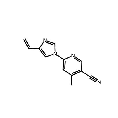 C=Cc1cn(-c2cc(C)c(C#N)cn2)cn1